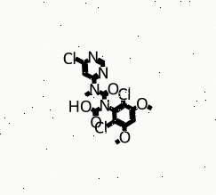 COc1cc(OC)c(Cl)c(N(C(=O)O)C(=O)N(C)c2cc(Cl)ncn2)c1Cl